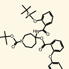 CC(C)(C)OC(=O)N1CCCC(NC(=O)c2ccccc2O[Si](C)(C)C(C)(C)C)(OC(=O)c2ccccc2Oc2ccccc2)CC1